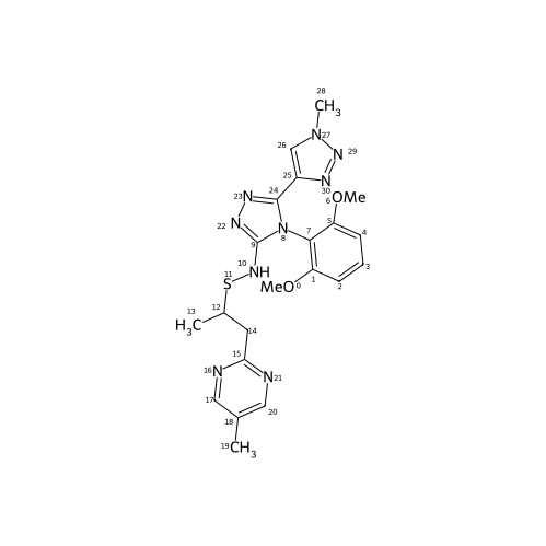 COc1cccc(OC)c1-n1c(NSC(C)Cc2ncc(C)cn2)nnc1-c1cn(C)nn1